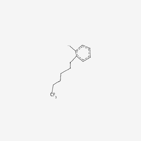 [CH2]c1ccccc1CCCCCC(F)(F)F